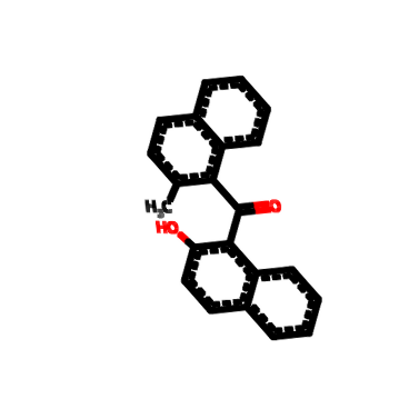 Cc1ccc2ccccc2c1C(=O)c1c(O)ccc2ccccc12